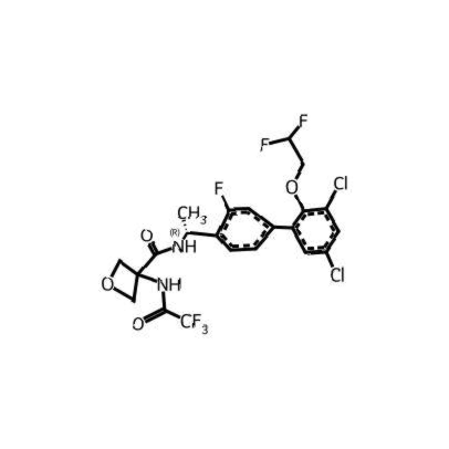 C[C@@H](NC(=O)C1(NC(=O)C(F)(F)F)COC1)c1ccc(-c2cc(Cl)cc(Cl)c2OCC(F)F)cc1F